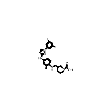 Cc1cc(Nc2ncn(-c3cc(F)cc(F)c3)n2)ccc1NCC1CCCN(C(=O)O)C1